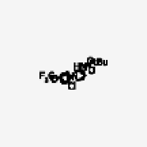 CC(C)(C)OC(=O)N[C@@H]1CCCN(c2ccc(OC(F)(F)F)cc2Cl)C1